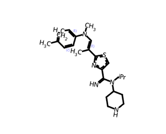 C=C(C)/C=C\C(=C/C)N(C)/C=C(\C)c1nc(C(=N)N(C(C)C)C2CCNCC2)cs1